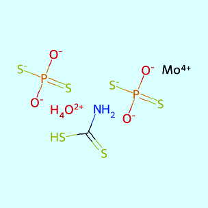 NC(=S)S.[Mo+4].[O-]P([O-])(=S)[S-].[O-]P([O-])(=S)[S-].[OH4+2]